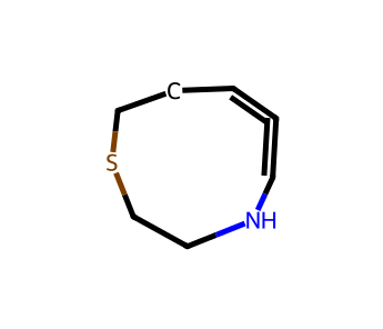 C1=CCCSCCNC=1